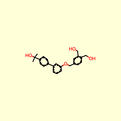 CC(C)(O)c1ccc(-c2cccc(OCc3ccc(CO)c(CO)c3)c2)cc1